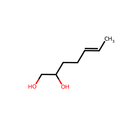 C/C=C/CCC(O)CO